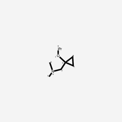 CC(C)OC1(CN(C)C)CC1